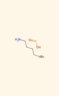 CCCCCCCCN.O=PO